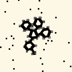 Clc1cccc(-c2cc(-c3ccccc3)c(-c3ccccc3)c(-c3ccccc3)c2)c1